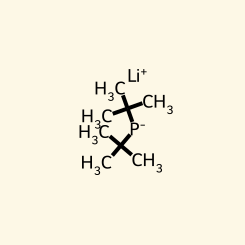 CC(C)(C)[P-]C(C)(C)C.[Li+]